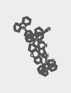 N#Cc1ccc2c(c1)c1cc(-n3c4ccccc4c4ccccc43)ccc1n2-c1ccc2c(c1)C1(c3cc(-n4c5ccccc5c5ccncc54)ccc3O2)c2cc(-n3c4ccccc4c4ccccc43)cnc2-c2ncc(-n3c4ccccc4c4ccccc43)cc21